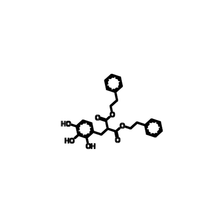 O=C(OCCc1ccccc1)C(Cc1ccc(O)c(O)c1O)C(=O)OCCc1ccccc1